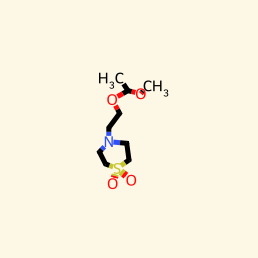 COC(C)OCCN1CCS(=O)(=O)CC1